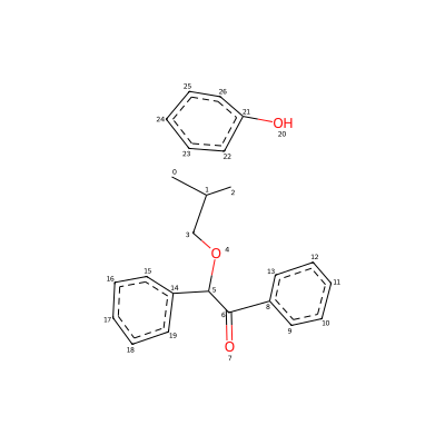 CC(C)COC(C(=O)c1ccccc1)c1ccccc1.Oc1ccccc1